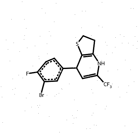 Fc1ccc(C2C=C(C(F)(F)F)NC3=C2SCC3)cc1Br